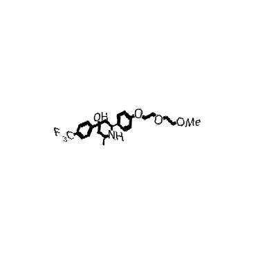 COCCOCCOc1ccc([C@@H]2CC(O)(c3ccc(C(F)(F)F)cc3)C[C@H](C)N2)cc1